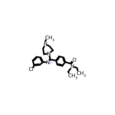 CCN1CCN(/C(=N\c2cccc(Cl)c2)c2ccc(C(=O)N(CC)CC)cc2)CC1